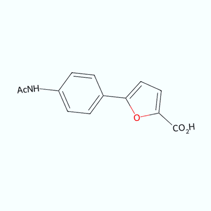 CC(=O)Nc1ccc(-c2ccc(C(=O)O)o2)cc1